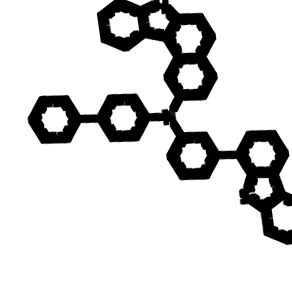 c1ccc(-c2ccc(N(c3cccc(-c4cccc5c4sc4ccccc45)c3)c3ccc4ccc5oc6ccccc6c5c4c3)cc2)cc1